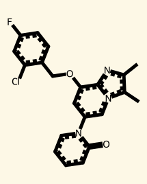 Cc1nc2c(OCc3ccc(F)cc3Cl)cc(-n3ccccc3=O)cn2c1C